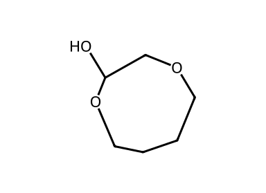 OC1COCCCCO1